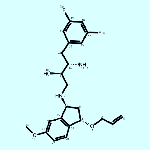 C=CCO[C@H]1C[C@H](NC[C@@H](O)[C@@H](N)Cc2cc(F)cc(F)c2)c2cc(OC)ccc21